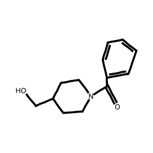 O=C(c1ccccc1)N1CCC(CO)CC1